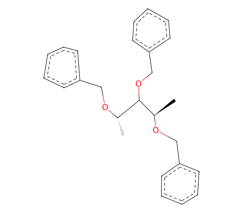 C[C@H](OCc1ccccc1)C(OCc1ccccc1)[C@@H](C)OCc1ccccc1